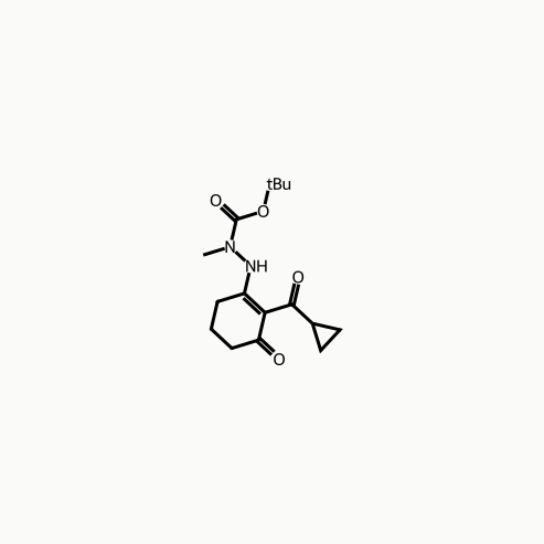 CN(NC1=C(C(=O)C2CC2)C(=O)CCC1)C(=O)OC(C)(C)C